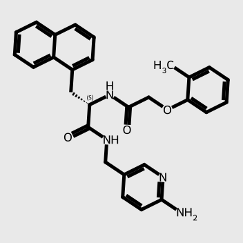 Cc1ccccc1OCC(=O)N[C@@H](Cc1cccc2ccccc12)C(=O)NCc1ccc(N)nc1